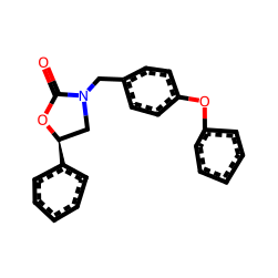 O=C1O[C@H](c2ccccc2)CN1Cc1ccc(Oc2ccccc2)cc1